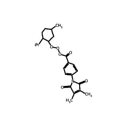 CC1=C(C)C(=O)N(c2ccc(C(=O)OOOC3CC(C)CCC3C(C)C)cc2)C1=O